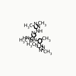 CNC(=O)c1cnc(Nc2cc(C)nc(C)n2)cc1Nc1cc(C)cc2c1N(C)Cc1nc(C)nn1-2